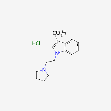 Cl.O=C(O)c1cn(CCN2CCCC2)c2ccccc12